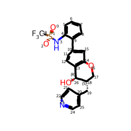 O=S(=O)(Nc1ccccc1-c1ccc2c(c1)OC[C@H](Cc1ccncc1)[C@H]2O)C(F)(F)F